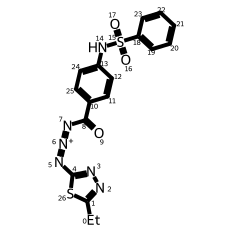 CCc1nnc(N=[N+]=NC(=O)c2ccc(NS(=O)(=O)c3ccccc3)cc2)s1